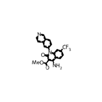 COC(=O)c1c(N)c2ccc(C(F)(F)F)cc2n(-c2ccc3cnccc3c2)c1=O